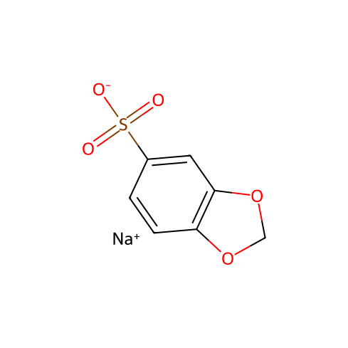 O=S(=O)([O-])c1ccc2c(c1)OCO2.[Na+]